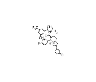 Cc1cc(C(C)N(C)C(=O)N2CCC3CN(C4=CC(=O)CC4)C[C@H]3C2c2ccc(F)cc2)cc(C(F)(F)F)c1